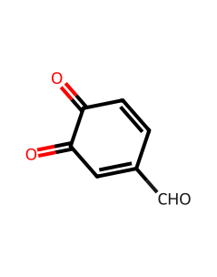 O=CC1=CC(=O)C(=O)C=C1